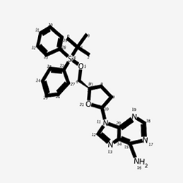 CC(C)(C)[Si](OC[C@H]1CCC(n2cnc3c(N)ncnc32)O1)(c1ccccc1)c1ccccc1